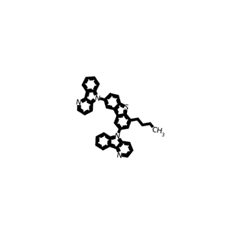 CCCCc1cc(-n2c3ccccc3c3ncccc32)cc2c1sc1ccc(-n3c4ccccc4c4ncccc43)cc12